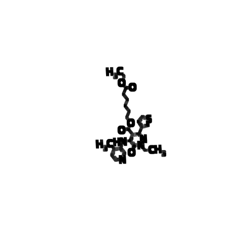 CCOC(=O)CCCCCOC(=O)c1c(-c2ccsc2)nn(CC)c(=O)c1Nc1cnccc1C